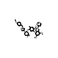 COc1ccc(Cn2cc([C@@H]3CCC(F)(F)C[C@H]3Oc3cc(F)c(S(=O)(=O)N(Cc4ccc(OC)cc4OC)c4ccncn4)cc3C)cn2)cc1